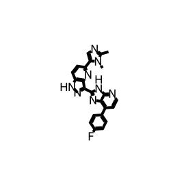 Cc1ncc(-c2ccc3[nH]nc(-c4nc5c(-c6ccc(F)cc6)ccnc5[nH]4)c3n2)n1C